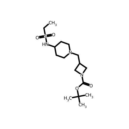 CCS(=O)(=O)NC1CCN(CC2CN(C(=O)OC(C)(C)C)C2)CC1